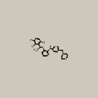 CC(Oc1cccnc1Nc1ccc(CN2CCOCC2)cc1)c1c(Cl)ccc(F)c1Cl